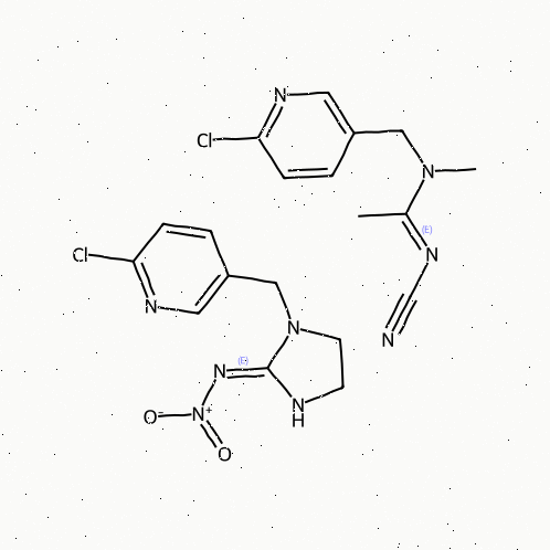 C/C(=N\C#N)N(C)Cc1ccc(Cl)nc1.O=[N+]([O-])/N=C1\NCCN1Cc1ccc(Cl)nc1